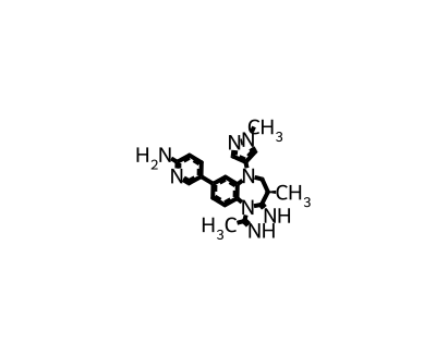 CC(=N)N1C(=N)[C@H](C)CN(c2cnn(C)c2)c2cc(-c3ccc(N)nc3)ccc21